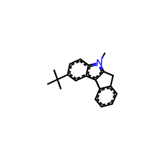 Cn1c2c(c3cc(C(C)(C)C)ccc31)-c1ccccc1C2